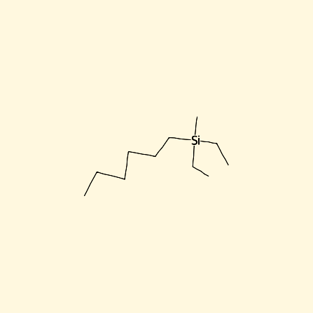 CCCCCC[Si](C)(CC)CC